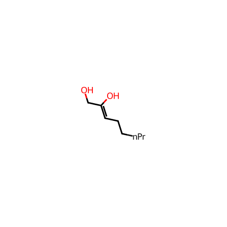 CCCCCC=C(O)CO